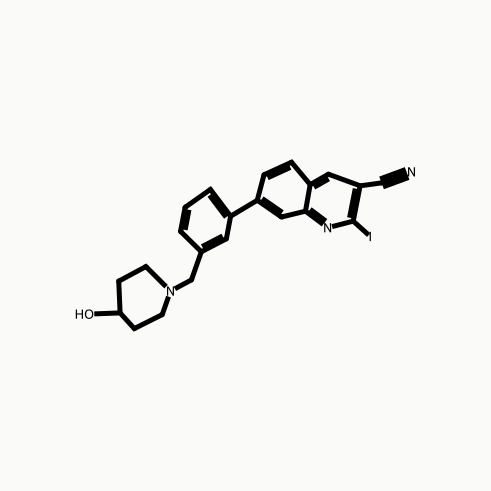 N#Cc1cc2ccc(-c3cccc(CN4CCC(O)CC4)c3)cc2nc1I